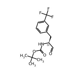 CC(C)(C)OC(=O)N[C@H](C=O)Cc1cccc(C(F)(F)F)c1